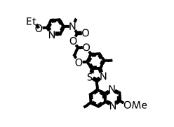 CCOc1ccc(N(C)C(=O)OC2COc3c(cc(C)c4nc(-c5cc(C)cc6nc(OC)cnc56)sc34)O2)cn1